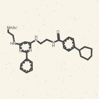 CC(=O)NCCNc1cc(NCCNC(=O)c2ccc(C3CCCCC3)cc2)nc(-c2ccccc2)n1